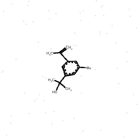 C=C(C)c1cc(C(C)(C)C)cc(C(C)(C)O)c1